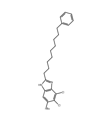 CCCCc1cc2[nH]c(CCCCCCCCCc3ccccc3)nc2c(Cl)c1Cl